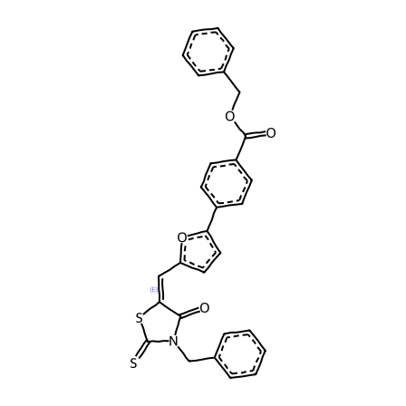 O=C(OCc1ccccc1)c1ccc(-c2ccc(/C=C3/SC(=S)N(Cc4ccccc4)C3=O)o2)cc1